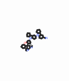 N#Cc1ccc2c(c1)c1ccccc1n2-c1ccc2c(c1)c1ccccc1n2-c1ccc2c(c1)Oc1ccccc1C21c2cccnc2-c2ncccc21